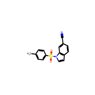 Cc1ccc(S(=O)(=O)n2ccc3ccc(C#N)cc32)cc1